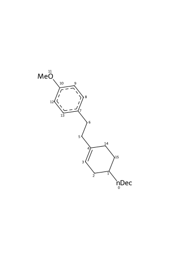 CCCCCCCCCCC1CC=C(CCc2ccc(OC)cc2)CC1